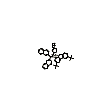 CC(C)(C)c1ccc2c(c1)-c1cc(C(C)(C)C)c[c]([Zr+2](=[C](c3ccc4ccccc4c3)c3ccc4ccccc4c3)[CH]3C=CC=C3)c1C2.[Cl-].[Cl-]